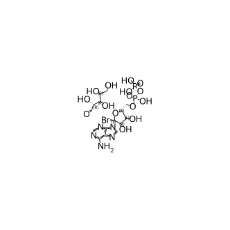 Nc1ncnc2c1ncn2[C@]1(Br)O[C@H](COP(=O)(O)OP(=O)(O)O)[C@@H](O)[C@H]1O.O=C[C@H](O)[C@H](O)[C@H](O)CO